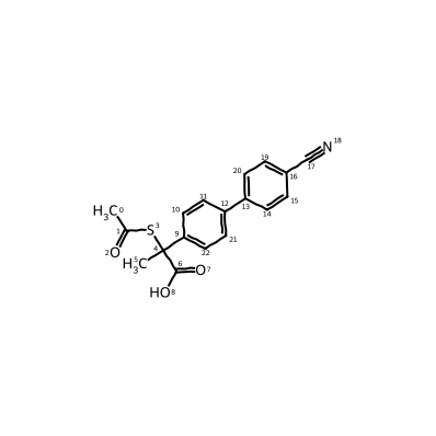 CC(=O)SC(C)(C(=O)O)c1ccc(-c2ccc(C#N)cc2)cc1